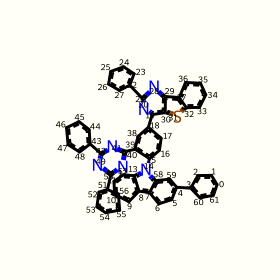 c1ccc(-c2ccc3c4ccccc4n(-c4ccc(-c5nc(-c6ccccc6)nc6c5sc5ccccc56)cc4-c4nc(-c5ccccc5)nc(-c5ccccc5)n4)c3c2)cc1